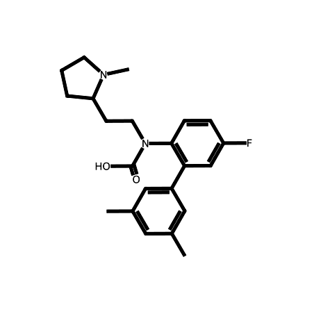 Cc1cc(C)cc(-c2cc(F)ccc2N(CCC2CCCN2C)C(=O)O)c1